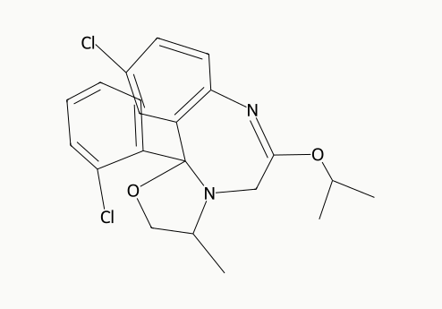 CC(C)OC1=Nc2ccc(Cl)cc2C2(c3ccccc3Cl)OCC(C)N2C1